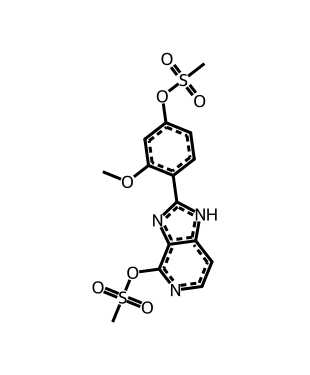 COc1cc(OS(C)(=O)=O)ccc1-c1nc2c(OS(C)(=O)=O)nccc2[nH]1